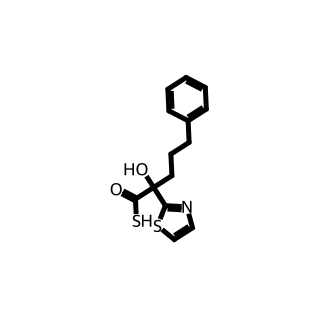 O=C(S)C(O)(CCCc1ccccc1)c1nccs1